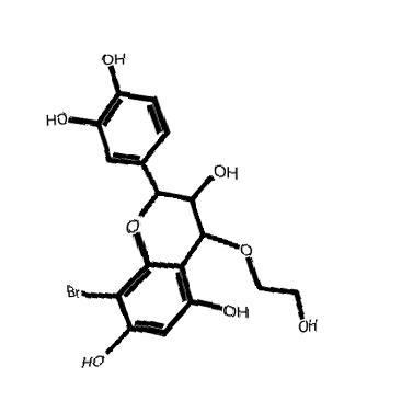 OCCOC1c2c(O)cc(O)c(Br)c2OC(c2ccc(O)c(O)c2)C1O